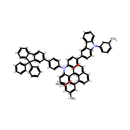 CC1C=CC=C(n2c3ccccc3c3cc(-c4ccc(N(c5ccc(-c6ccc7c(c6)C(c6ccccc6)(c6ccccc6)c6ccccc6-7)cc5)c5ccccc5C5=c6c(-c7cc(C(C)(C)C)cc(C(C)(C)C)c7)cccc6=CCC5)cc4)ccc32)C1